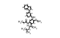 C=CC(=O)Nc1cc(Nc2cc(-n3ccc4cccnc43)ncn2)c(OC)cc1N(C)CCN(C)C